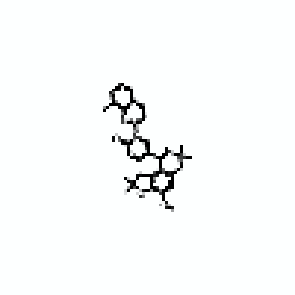 COc1cc2c(c3c1OC(C)(C)C3)C(c1ccc(=O)n(-c3ccc4cccc(C)c4n3)c1)=NC(C)(C)C2